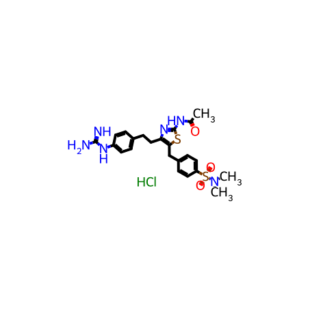 CC(=O)Nc1nc(CCc2ccc(NC(=N)N)cc2)c(Cc2ccc(S(=O)(=O)N(C)C)cc2)s1.Cl